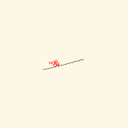 CCCCCCCCCCCCCCCCC(CCCCCCCCC)OP(=O)(O)O